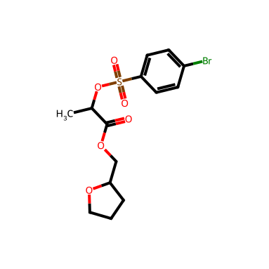 CC(OS(=O)(=O)c1ccc(Br)cc1)C(=O)OCC1CCCO1